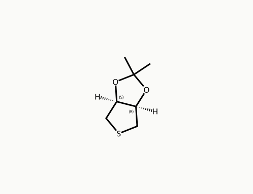 CC1(C)O[C@H]2CSC[C@H]2O1